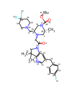 C[C@@H]1CN(CC(=O)N2CC(C)(C)c3ncc(Cc4ccc(F)cc4)cc32)[C@@H](CN2CCC(F)(F)CC2)CN1C(=O)OC(C)(C)C